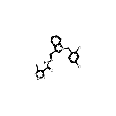 Cc1nonc1C(=O)N/N=C/c1cn(Cc2ccc(Cl)cc2Cl)c2ccccc12